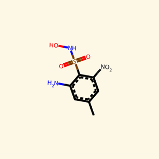 Cc1cc(N)c(S(=O)(=O)NO)c([N+](=O)[O-])c1